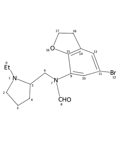 CCN1CCCC1CN(C=O)c1cc(Br)cc2c1OCC2